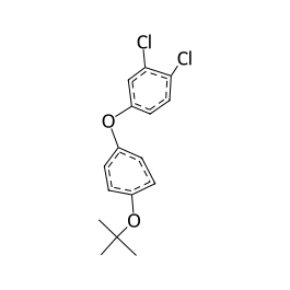 CC(C)(C)Oc1ccc(Oc2ccc(Cl)c(Cl)c2)cc1